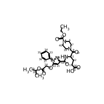 CCOC(=O)N1CCN(C(=O)C(CCC(=O)O)NC(=O)c2cc(OCC(=O)OC(C)C)n(-c3ccccc3)n2)CC1